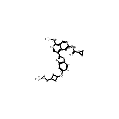 CNc1ncc(-c2nc3cc(OC4CC(COC)C4)ccc3o2)c2cc(NC(=O)C3CC3)ncc12